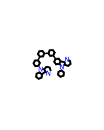 c1ccc(-n2c3ccc(-c4cccc(-c5cccc(-c6cccc(-n7c8ccccc8c8ncccc87)c6)c5)c4)cc3c3ncccc32)cc1